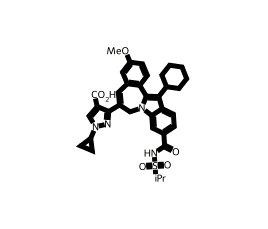 COc1ccc2c(c1)C=C(c1nn(C3CC3)cc1C(=O)O)Cn1c-2c(C2CCCCC2)c2ccc(C(=O)NS(=O)(=O)C(C)C)cc21